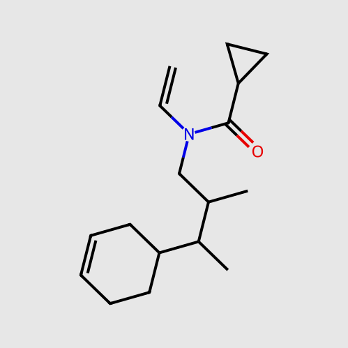 C=CN(CC(C)C(C)C1CC=CCC1)C(=O)C1CC1